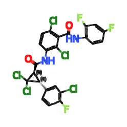 O=C(Nc1ccc(F)cc1F)c1c(Cl)ccc(NC(=O)[C@H]2[C@H](c3ccc(F)c(Cl)c3)C2(Cl)Cl)c1Cl